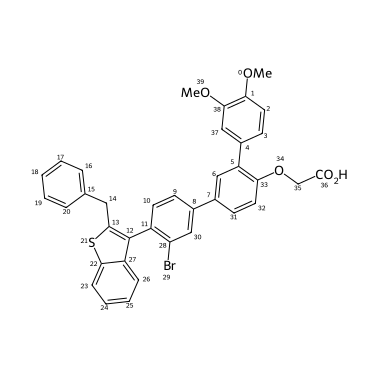 COc1ccc(-c2cc(-c3ccc(-c4c(Cc5ccccc5)sc5ccccc45)c(Br)c3)ccc2OCC(=O)O)cc1OC